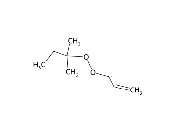 C=C[CH]OOC(C)(C)CC